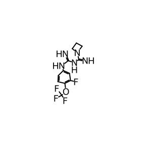 N=C(NC(=N)N1CCC1)Nc1ccc(OC(F)(F)F)c(F)c1